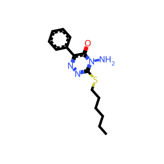 CCCCCCSc1nnc(-c2ccccc2)c(=O)n1N